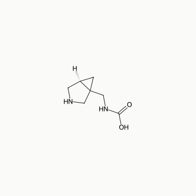 O=C(O)NCC12CNC[C@H]1C2